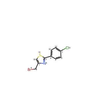 Clc1ccc(-c2nc(CBr)cs2)cc1